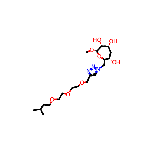 CO[C@H]1O[C@H](Cn2cc(COCCOCCOCCC(C)C)nn2)[C@@H](O)C[C@H](O)[C@H]1O